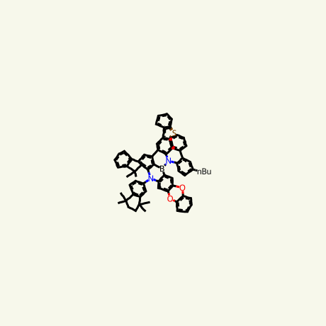 CCCCc1ccc(N2B3c4cc5c(cc4N(c4ccc6c(c4)C(C)(C)CCC6(C)C)c4c3c(cc3c4C(C)(C)c4ccccc4-3)-c3cc4c(cc32)sc2ccccc24)Oc2ccccc2O5)c(-c2ccccc2)c1